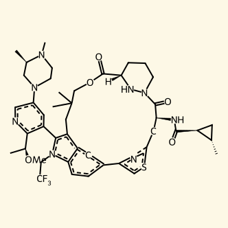 CO[C@@H](C)c1ncc(N2CCN(C)[C@H](C)C2)cc1-c1c2c3cc(ccc3n1CC(F)(F)F)-c1csc(n1)C[C@H](NC(=O)[C@H]1C[C@@H]1C)C(=O)N1CCC[C@H](N1)C(=O)OCC(C)(C)C2